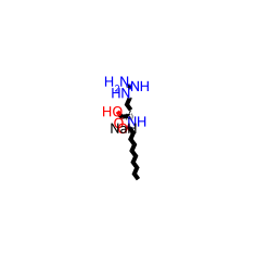 CCCCCCCCCC(=O)N[C@@H](CCCNC(=N)N)C(=O)O.[NaH]